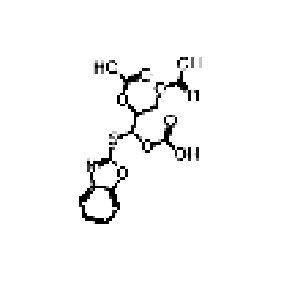 O=C(O)OCC(OC(=O)O)C(OC(=O)O)Sc1nc2ccccc2o1